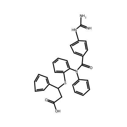 N=C(N)Nc1ccc(C(=O)N(c2ccccc2)c2ccccc2SC(CC(=O)O)c2ccccc2)cc1